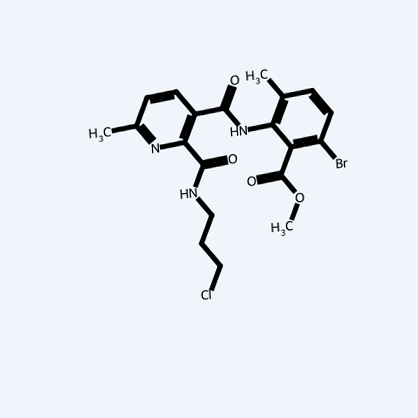 COC(=O)c1c(Br)ccc(C)c1NC(=O)c1ccc(C)nc1C(=O)NCCCCl